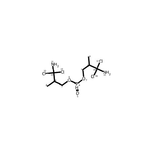 CC(CO[PH](=O)OCC(C)C(N)(Cl)Cl)C(N)(Cl)Cl